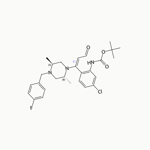 C[C@@H]1CN(Cc2ccc(F)cc2)[C@@H](C)CN1/C(=C/C=O)c1ccc(Cl)cc1NC(=O)OC(C)(C)C